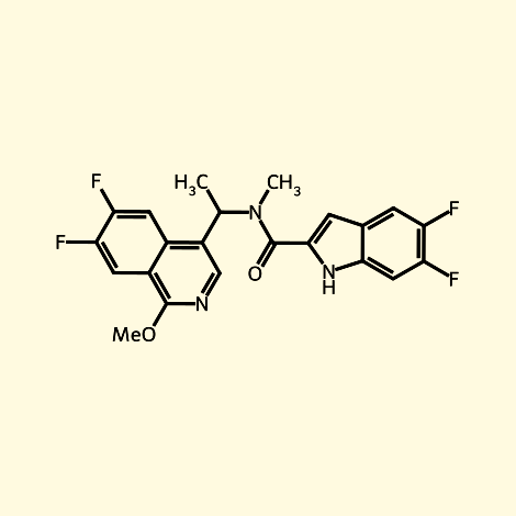 COc1ncc(C(C)N(C)C(=O)c2cc3cc(F)c(F)cc3[nH]2)c2cc(F)c(F)cc12